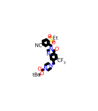 CCS(=O)(=O)c1ccc(C#N)cc1Cn1cnc2cc(CN3CCN(C(=O)OC(C)(C)C)CC3)c(C(F)(F)F)cc2c1=O